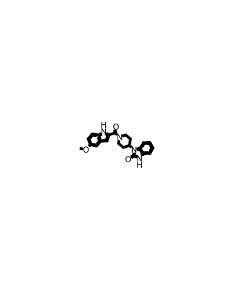 COc1ccc2[nH]c(C(=O)N3CCC(n4c(=O)[nH]c5ccccc54)CC3)cc2c1